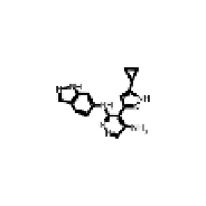 Nc1cnnc(Nc2ccc3cn[nH]c3c2)c1-c1cc(C2CC2)[nH]n1